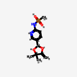 C=C1OB(c2ccc(NS(C)(=O)=O)nc2)OC1(C)C